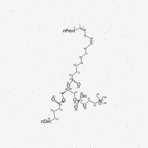 CCCCC/C=C\C/C=C\CCCCCCCC(=O)O[C@H](COC(=O)CCCCCCCCCCCCC)COP(=O)(O)OCC[N+](C)(C)C